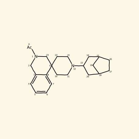 CC(=O)N1Cc2ccccc2C2(CCN(C3CC4CCC(C4)C3)CC2)C1